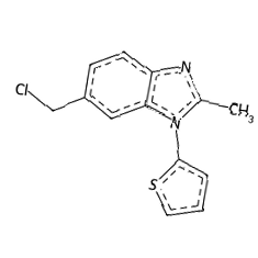 Cc1nc2ccc(CCl)cc2n1-c1cccs1